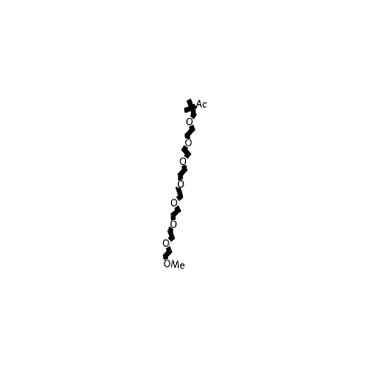 COCCOCCOCCOCCOCCOCCOCCOCC(C)(C)C(C)=O